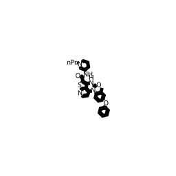 CCCN1CCC[C@@H](NC(=O)c2sc3nccc4c3c2NC(=O)N4c2ccc(Oc3ccccc3)cc2C)C1